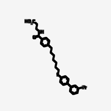 CC(C)c1cccc(-c2ccc(SCCCCCCCc3ccc(C(=O)NCCC(=O)O)cc3)cc2)c1